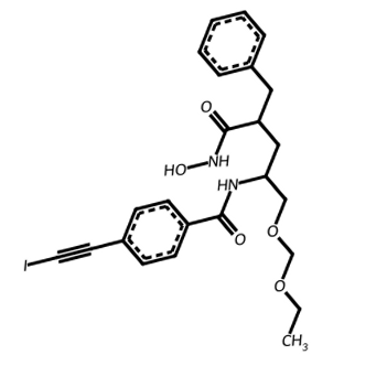 CCOCOCC(CC(Cc1ccccc1)C(=O)NO)NC(=O)c1ccc(C#CI)cc1